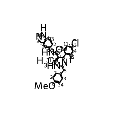 COc1ccc(CC2=NC(c3ccc(Cl)cc3F)C(C(=O)Nc3ccc4[nH]ncc4c3)=C(C)N2)cc1